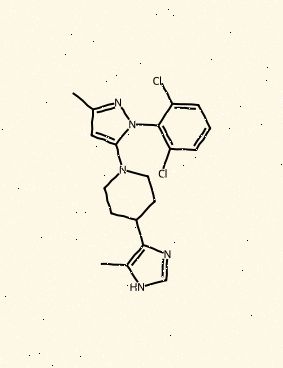 Cc1cc(N2CCC(c3nc[nH]c3C)CC2)n(-c2c(Cl)cccc2Cl)n1